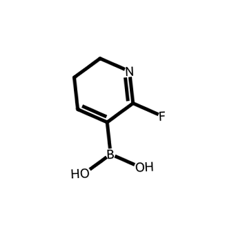 OB(O)C1=CCCN=C1F